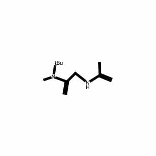 C=C(C)NCC(=C)N(C)C(C)(C)C